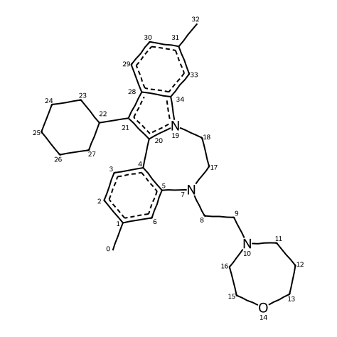 Cc1ccc2c(c1)N(CCN1CCCOCC1)CCn1c-2c(C2CCCCC2)c2ccc(C)cc21